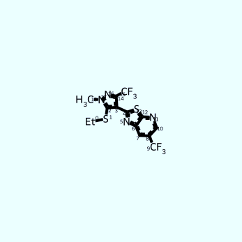 CCSc1c(-c2nc3cc(C(F)(F)F)cnc3s2)c(C(F)(F)F)nn1C